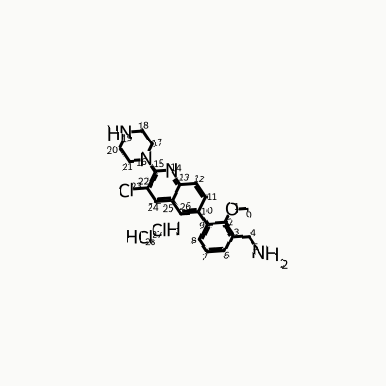 COc1c(CN)cccc1-c1ccc2nc(N3CCNCC3)c(Cl)cc2c1.Cl.Cl